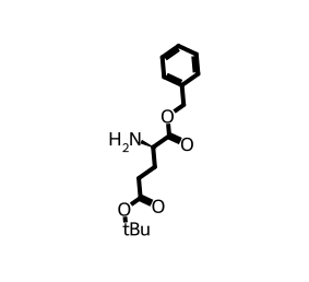 CC(C)(C)OC(=O)CC[C@@H](N)C(=O)OCc1ccccc1